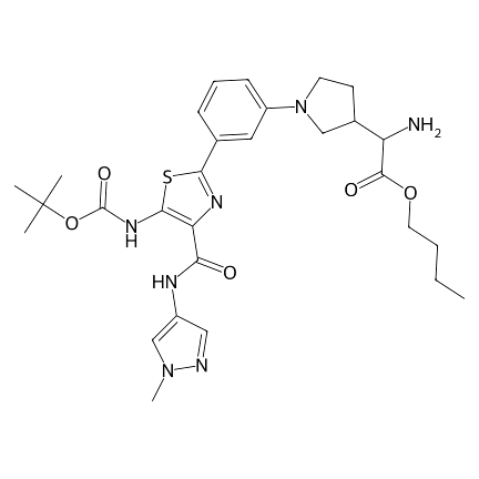 CCCCOC(=O)C(N)C1CCN(c2cccc(-c3nc(C(=O)Nc4cnn(C)c4)c(NC(=O)OC(C)(C)C)s3)c2)C1